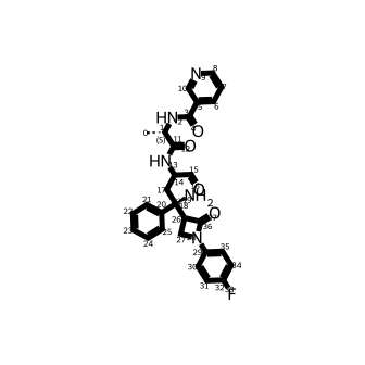 C[C@H](NC(=O)c1cccnc1)C(=O)NC(C=O)C[C@@](N)(c1ccccc1)C1CN(c2ccc(F)cc2)C1=O